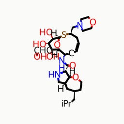 CC(C)C[C@@H]1CCO[C@@H]2[C@H](CN[C@@H]2C(=O)N[C@@H]2CC=CC[C@H](CN3CCOCC3)S[C@H]3O[C@H]2[C@H](O)[C@H](O)[C@H]3O)C1.O=CO